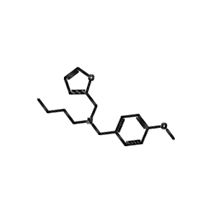 CCCCN(Cc1ccc(OC)cc1)Cc1ccco1